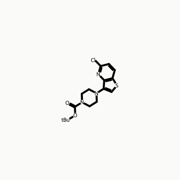 CC(C)(C)OC(=O)N1CCN(c2csc3ccc(Cl)nc23)CC1